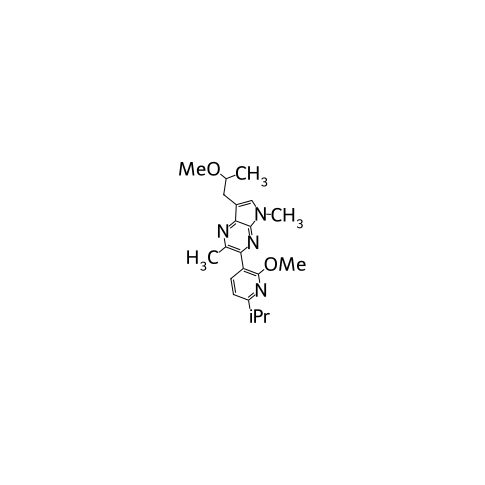 COc1nc(C(C)C)ccc1-c1nc2c(nc1C)c(CC(C)OC)cn2C